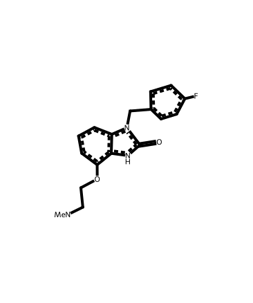 CNCCOc1cccc2c1[nH]c(=O)n2Cc1ccc(F)cc1